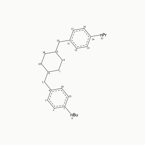 CCCCc1ccc(CC2CCC(Cc3ccc(CCC)cc3)CC2)cc1